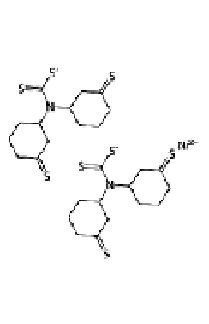 S=C1CCCC(N(C(=S)[S-])C2CCCC(=S)C2)C1.S=C1CCCC(N(C(=S)[S-])C2CCCC(=S)C2)C1.[Ni+2]